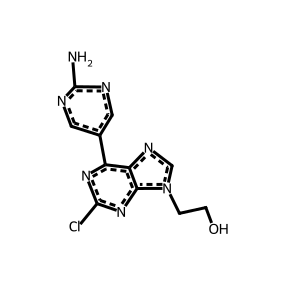 Nc1ncc(-c2nc(Cl)nc3c2ncn3CCO)cn1